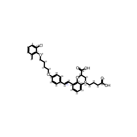 Cc1cccc(Cl)c1OCCCCOc1ccc(/C=C/c2cccc3c2OC(C(=O)O)CN3CCCC(=O)O)cc1